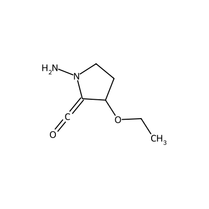 CCOC1CCN(N)C1=C=O